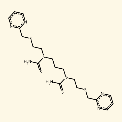 NC(=S)N(CCCN(CCSCc1ncccn1)C(N)=S)CCSCc1ncccn1